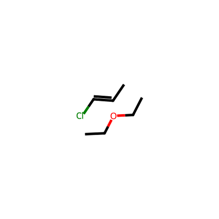 CC=CCl.CCOCC